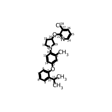 Cc1cc(Oc2ccccc2C(C)C)ccc1N1CCC(Oc2ncccc2Cl)C1